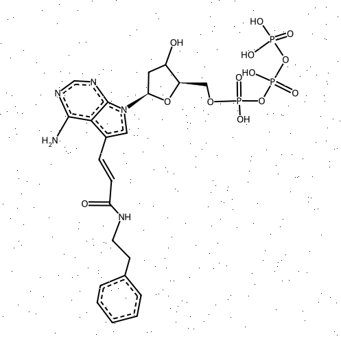 Nc1ncnc2c1c(/C=C/C(=O)NCCc1ccccc1)cn2[C@H]1CC(O)[C@@H](COP(=O)(O)OP(=O)(O)OP(=O)(O)O)O1